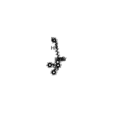 CCCN(CCCCCCNCCSc1ccncc1)[C@H]1CCc2c(ccc(OCc3ccccc3)c2OCc2ccccc2)C1.Cl.Cl.Cl